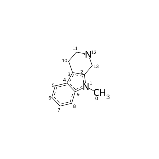 Cn1c2c(c3ccccc31)CC[N]C2